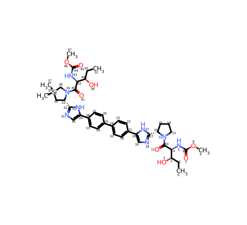 CC[C@@H](O)[C@H](NC(=O)OC)C(=O)N1CCC[C@H]1c1ncc(-c2ccc(-c3ccc(-c4cnc([C@@H]5C[Si](C)(C)CN5C(=O)[C@@H](NC(=O)OC)[C@H](O)CC)[nH]4)cc3)cc2)[nH]1